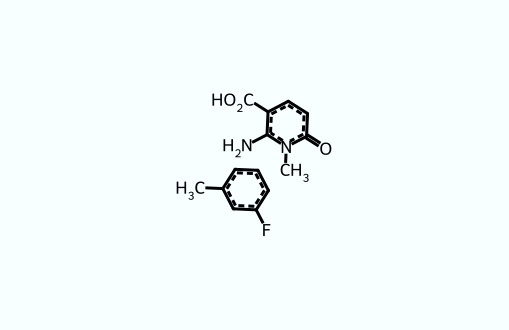 Cc1cccc(F)c1.Cn1c(N)c(C(=O)O)ccc1=O